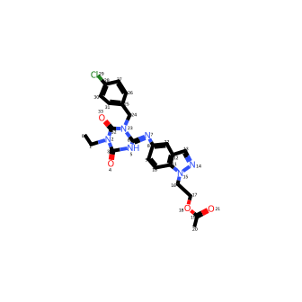 CCn1c(=O)[nH]/c(=N\c2ccc3c(cnn3CCOC(C)=O)c2)n(Cc2ccc(Cl)cc2)c1=O